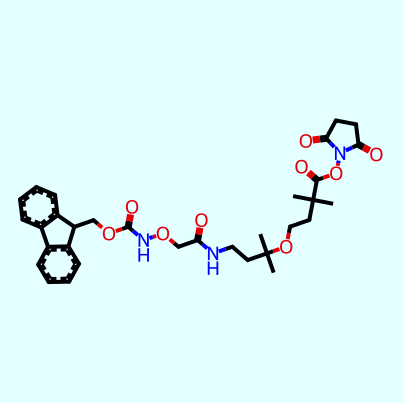 CC(C)(CCNC(=O)CONC(=O)OCC1c2ccccc2-c2ccccc21)OCCC(C)(C)C(=O)ON1C(=O)CCC1=O